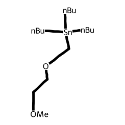 CCC[CH2][Sn]([CH2]CCC)([CH2]CCC)[CH2]OCCOC